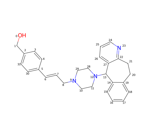 OCc1ccc(C=CCN2CCN(C3c4ccccc4CCc4ncccc43)CC2)cc1